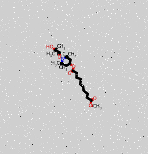 COC(=O)CCCCCCCCC(=O)OC1CC(C)(C)N(OCC(C)(C)O)C(C)(C)C1